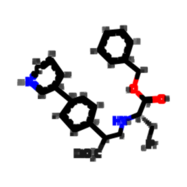 CCOC(=O)C(CN[C@@H](CC(C)C)C(=O)OCc1ccccc1)c1ccc(-c2cccnc2)cc1